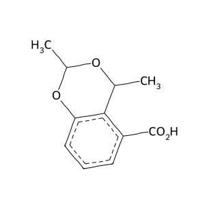 CC1Oc2cccc(C(=O)O)c2C(C)O1